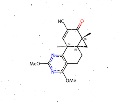 COc1nc(OC)c2c(n1)[C@@]1(C)C=C(C#N)C(=O)[C@]3(C)C[C@]31CC2